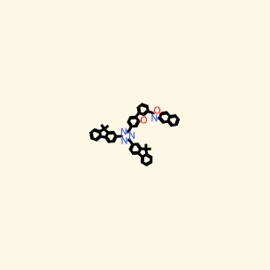 CC1(C)c2ccccc2-c2ccc(-c3nc(-c4ccc5c(c4)C(C)(C)c4ccccc4-5)nc(-c4ccc5c(c4)oc4c(-c6nc7cc8ccccc8cc7o6)cccc45)n3)cc21